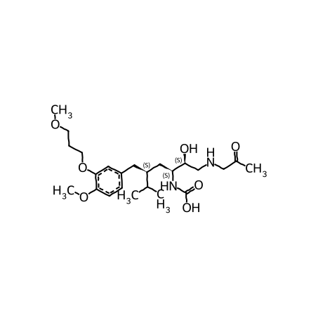 COCCCOc1cc(C[C@@H](C[C@H](NC(=O)O)[C@@H](O)CNCC(C)=O)C(C)C)ccc1OC